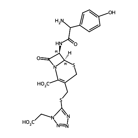 NC(C(=O)N[C@@H]1C(=O)N2C(C(=O)O)=C(CSc3nnnn3CC(=O)O)CS[C@H]12)c1ccc(O)cc1